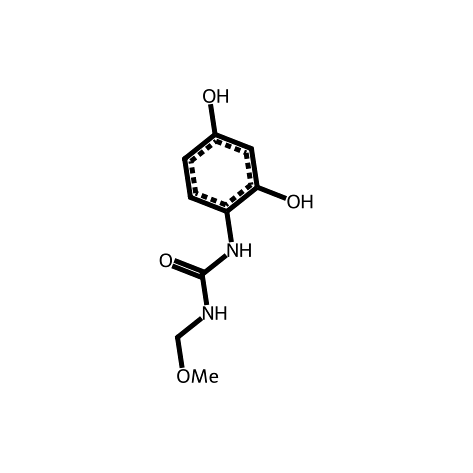 COCNC(=O)Nc1ccc(O)cc1O